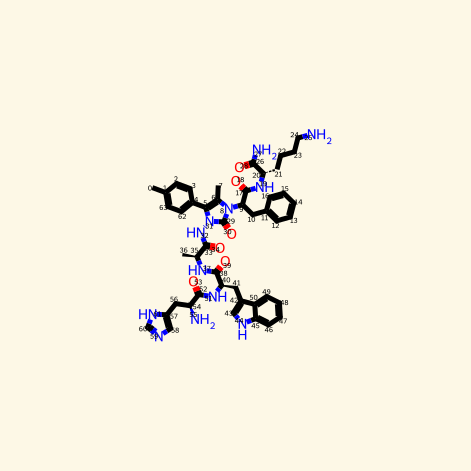 Cc1ccc(-c2c(C)n(C(Cc3ccccc3)C(=O)N[C@@H](CCCCN)C(N)=O)c(=O)n2NC(=O)[C@H](C)NC(=O)[C@@H](Cc2c[nH]c3ccccc23)NC(=O)[C@@H](N)Cc2cnc[nH]2)cc1